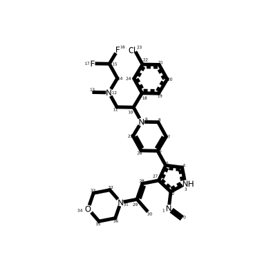 C=Nc1[nH]cc(C2=CCN(C(CN(C)CC(F)F)c3cccc(Cl)c3)C=C2)c1/C=C(\C)N1CCOCC1